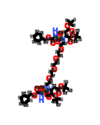 CC(C)(C)OC(=O)C[C@@H](C(=O)OC(C)(C)C)N(CCOCCOCCOCCOCCN([C@@H](CC(=O)OC(C)(C)C)C(=O)OC(C)(C)C)S(=O)(=O)NC(=O)OCc1ccccc1)S(=O)(=O)NC(=O)OCc1ccccc1